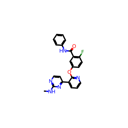 CNc1nccc(-c2cccnc2Oc2ccc(F)c(C(=O)Nc3ccccc3)c2)n1